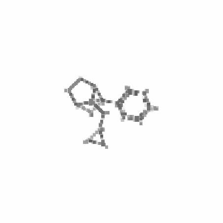 c1cc(C2CC3CCC2N3CC2CC2)ccn1